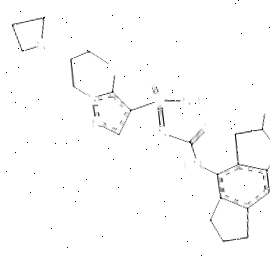 NS(=O)(=NC(=O)Nc1c2c(cc3c1CC(F)C3)CCC2)c1cnn2c1OC[C@@H](N1CCC1)C2